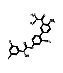 Cc1cc(NC(=O)[C@H](O)c2cc(F)cc(F)c2)ccc1-c1cnc(N)c(C(=O)N(C)C)c1